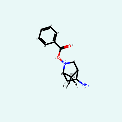 C[C@H]1C2CN(OC(=O)c3ccccc3)C1CC2N